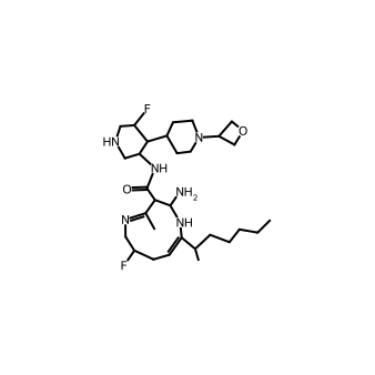 CCCCCC(C)/C1=C/CC(F)C/N=C(\C)C(C(=O)NC2CNCC(F)C2C2CCN(C3COC3)CC2)C(N)N1